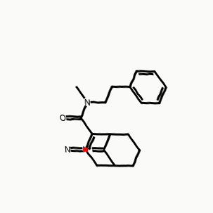 CN(CCc1ccccc1)C(=O)C1=CCC2CCCC1C2=[N+]=[N-]